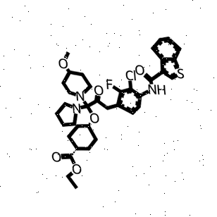 CCOC(=O)[C@H]1CC[C@H](OC(C(=O)Cc2ccc(NC(=O)c3csc4ccccc34)c(Cl)c2F)(N2CCCC2)N2CCC(OC)CC2)CC1